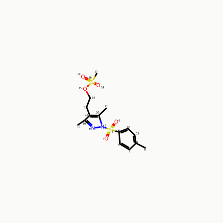 Cc1ccc(S(=O)(=O)n2nc(C)c(CCOS(C)(=O)=O)c2C)cc1